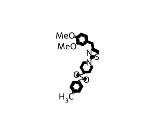 COc1ccc(Cc2csc(N3CCC(S(=O)(=O)c4ccc(C)cc4)CC3)n2)cc1OC